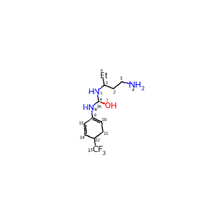 CCC(CCN)N[C@@H](O)NC1=CCC(C(F)(F)F)C=C1